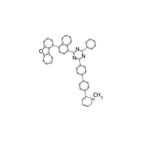 C[C@@H]1CC=CC=C1c1ccc(-c2ccc(-c3nc(-c4ccccc4)nc(-c4ccc(-c5cccc6oc7ccccc7c56)c5ccccc45)n3)cc2)cc1